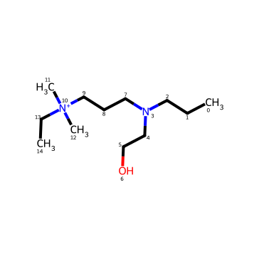 CCCN(CCO)CCC[N+](C)(C)CC